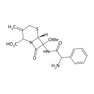 C=C1CS[C@H]2N(C(=O)C2(NC(=O)C(N)c2ccccc2)OC)C1C(=O)O